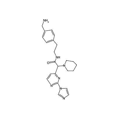 NCc1ccc(CCNC(=O)C(c2ccnc(-n3ccnc3)n2)N2CCCCC2)cc1